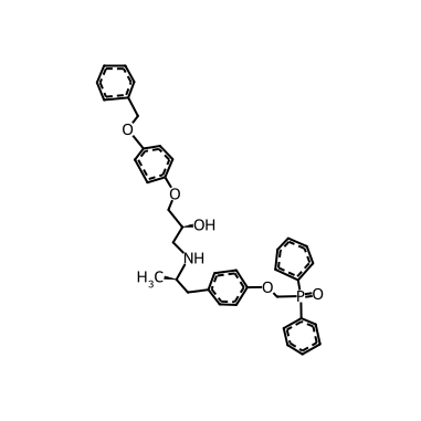 C[C@H](Cc1ccc(OCP(=O)(c2ccccc2)c2ccccc2)cc1)NC[C@H](O)COc1ccc(OCc2ccccc2)cc1